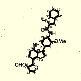 COc1cc(-c2csc3c(-c4occc4C=O)ccc(N)c23)ccc1NC(=O)c1cc2ccccc2n1C